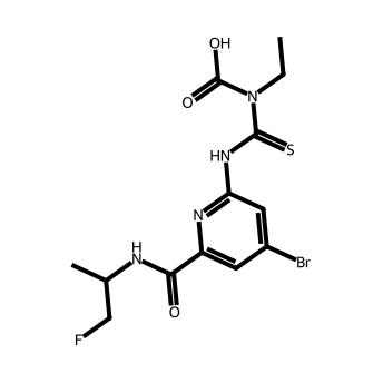 CCN(C(=O)O)C(=S)Nc1cc(Br)cc(C(=O)NC(C)CF)n1